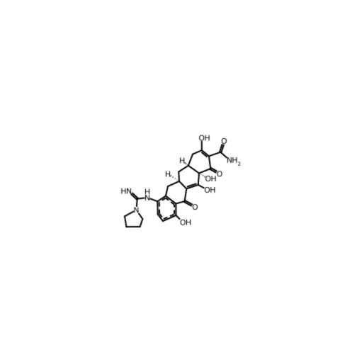 N=C(Nc1ccc(O)c2c1C[C@H]1C[C@H]3CC(O)=C(C(N)=O)C(=O)[C@@]3(O)C(O)=C1C2=O)N1CCCC1